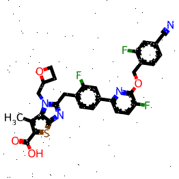 Cc1c(C(=O)O)sc2nc(Cc3ccc(-c4ccc(F)c(OCc5ccc(C#N)cc5F)n4)cc3F)n(CC3CCO3)c12